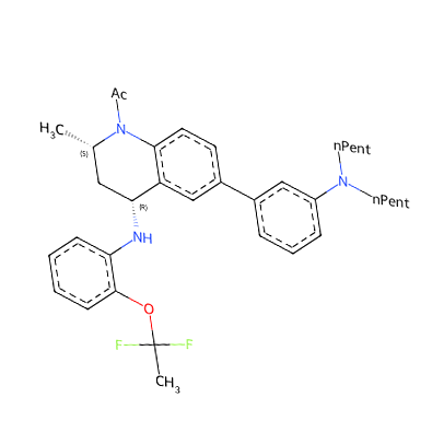 CCCCCN(CCCCC)c1cccc(-c2ccc3c(c2)[C@H](Nc2ccccc2OC(C)(F)F)C[C@H](C)N3C(C)=O)c1